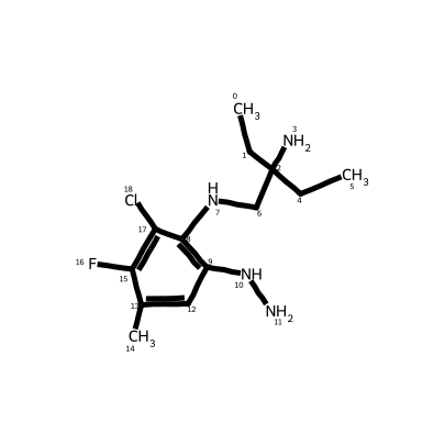 CCC(N)(CC)CNc1c(NN)cc(C)c(F)c1Cl